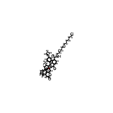 C[Si]1(C)c2cc(N3CCC3)ccc2C2(c3cc(C(=O)NCCOCCOCCCCCCCl)ccc3C(=O)N2c2ccc3c(C(F)(F)F)cc(=O)oc3c2)c2ccc(N3CCC3)cc21